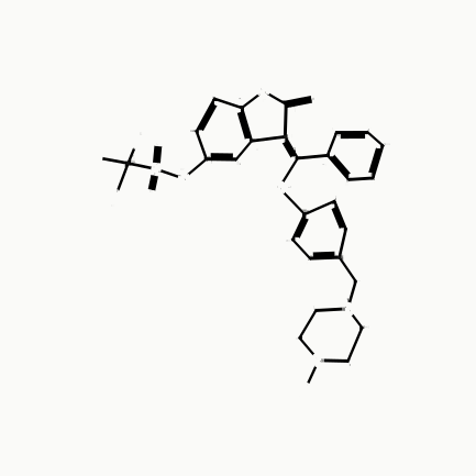 CN1CCN(Cc2ccc(NC(=C3C(=O)Nc4ccc(NS(=O)(=O)C(F)(F)F)cc43)c3ccccc3)cc2)CC1